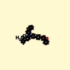 CC1(C)c2ccccc2-c2ccc(N(c3ccc(-c4ccc(-c5ccc6oc7ccccc7c6c5)cc4)cc3)c3ccc4sc5ccccc5c4c3)cc21